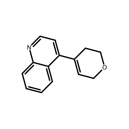 C1=C(c2ccnc3ccccc23)CCOC1